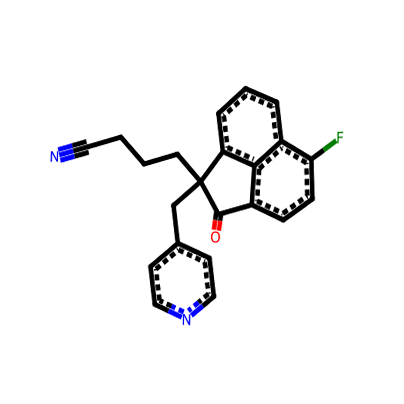 N#CCCCC1(Cc2ccncc2)C(=O)c2ccc(F)c3cccc1c23